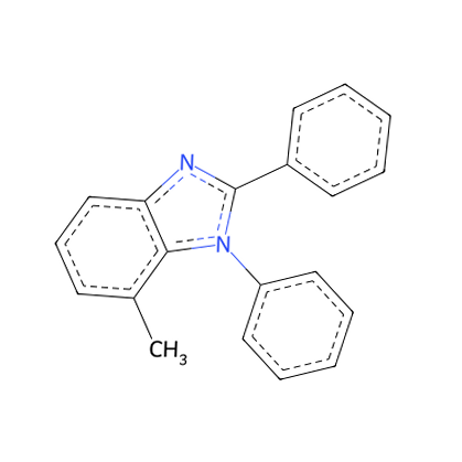 Cc1cccc2nc(-c3ccccc3)n(-c3ccccc3)c12